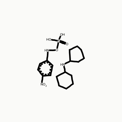 C1CCC(NC2CCCCC2)CC1.O=[N+]([O-])c1ccc(NOP(=O)(O)O)cc1